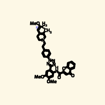 CO/C(C)=C/C1=C(C)CN(CCc2ccc(-n3nnc(-c4cc(OC)c(OC)cc4NC(=O)c4cc(=O)c5ccccc5o4)n3)cc2)CC1